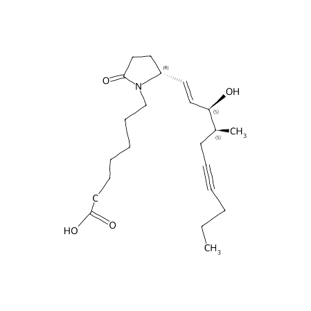 CCCC#CC[C@H](C)[C@H](O)C=C[C@H]1CCC(=O)N1CCCCCCC(=O)O